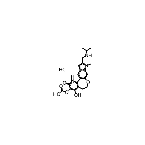 CC(C)NCc1cc2cc3c(cc2n1C)OCCc1c-3[nH]c(=O)c(OC(=O)O)c1O.Cl